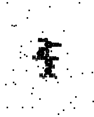 CNc1nc(Nc2ccc(C)c(N)c2)ncc1C(=O)Nc1cc(NC(=O)c2cc(OC)cc(OC)c2)ccc1C